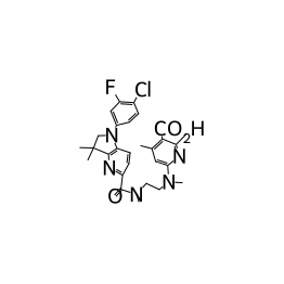 Cc1cc(N(C)CCN(C)C(=O)c2ccc3c(n2)C(C)(C)CN3c2ccc(Cl)c(F)c2)nc(C)c1C(=O)O